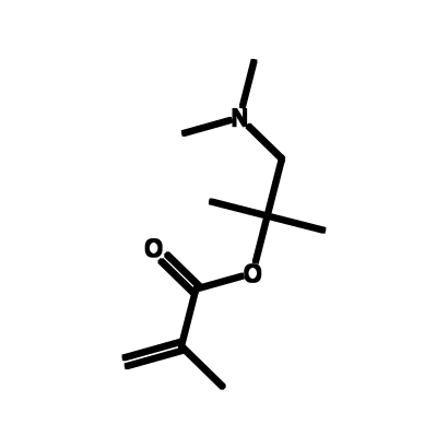 C=C(C)C(=O)OC(C)(C)CN(C)C